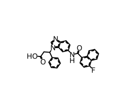 O=C(O)CC(c1ccccc1)n1cnc2ccc(NC(=O)c3ccc(F)c4ccccc34)cc21